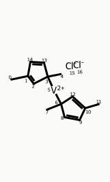 CC1=C[C](C)([V+2][C]2(C)C=CC(C)=C2)C=C1.[Cl-].[Cl-]